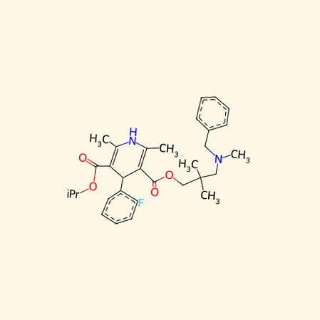 CC1=C(C(=O)OCC(C)(C)CN(C)Cc2ccccc2)C(c2ccccc2F)C(C(=O)OC(C)C)=C(C)N1